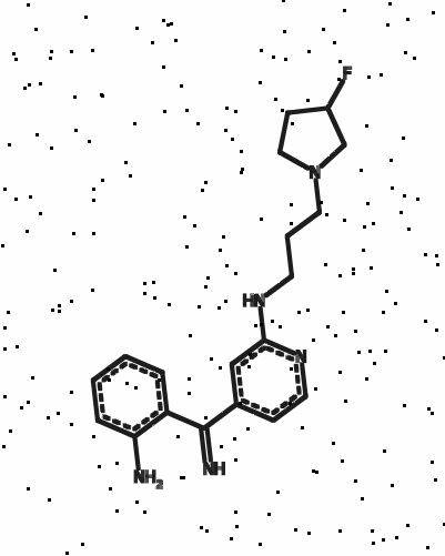 N=C(c1ccnc(NCCCN2CCC(F)C2)c1)c1ccccc1N